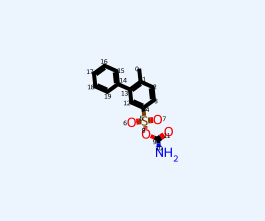 Cc1ccc(S(=O)(=O)OC(N)=O)cc1-c1ccccc1